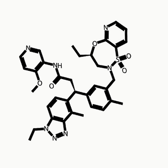 CC[C@@H]1CN(Cc2cc([C@H](CC(=O)Nc3cnccc3OC)c3ccc4c(nnn4CC)c3C)ccc2C)S(=O)(=O)c2cccnc2O1